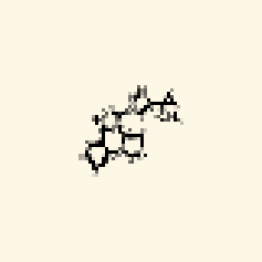 CC1(c2cn(-c3nnc4c5ccccc5n5cncc5n34)nn2)CC1